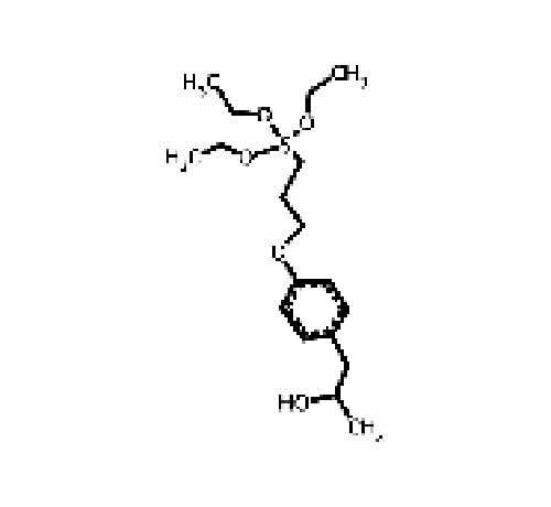 CCO[Si](CCCOc1ccc(CC(C)O)cc1)(OCC)OCC